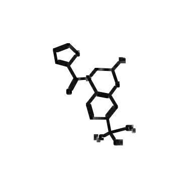 CCC1CN(C(=O)c2cccs2)c2ccc(C(O)(C(F)(F)F)C(F)(F)F)cc2S1